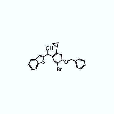 OC(c1cc2ccccc2s1)c1cc(Br)c(OCc2ccccc2)cc1C1CC1